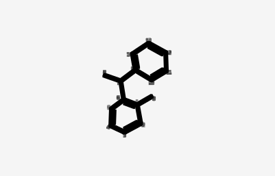 Cc1[c]cc[c]c1C(C)c1[c]cc[c]c1